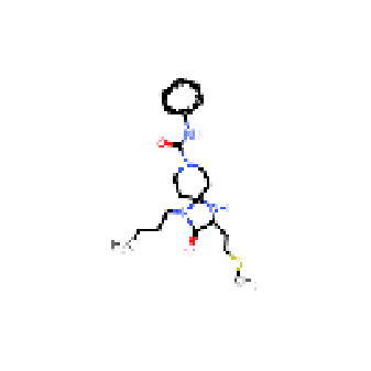 CCCCN1C(=O)C(CCSC)NC12CCN(C(=O)Nc1ccccc1)CC2